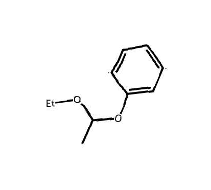 CCOC(C)Oc1[c]cc[c]c1